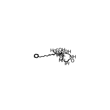 CC(C)[C@H]1/C=C/C(=O)NCC[C@H](O)C[C@H](NC(=O)[C@@H](NC(=O)/C=C/C=C/CCCCCc2ccccc2)[C@@H](C)O)C(=O)N1